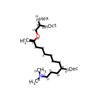 C=C(CCCCCCC(CCCCCCCCCC)CCCN(C)C)OCC(CCCCCC)CCCCCCCC